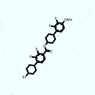 CCC1CCC(c2ccc(C(=O)OC3CCC(c4ccc(OC)c(F)c4F)CC3)c(F)c2F)CC1